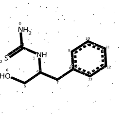 NC(=S)NC(CO)Cc1ccccc1